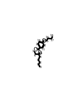 CCCCCC1CCOC(c2ccc(OCCCC)cc2)O1